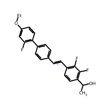 CCOc1ccc(-c2ccc(/C=C/c3ccc(C(C)O)c(F)c3F)cc2)c(F)c1